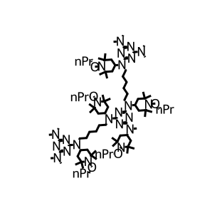 CCCON1C(C)(C)CC(N(C)c2nc(N(CCCCCCN(c3nc(N(C)C)nc(N(C)C)n3)C3CC(C)(C)N(OCCC)C(C)(C)C3)C3CC(C)(C)N(OCCC)C(C)(C)C3)nc(N(CCCCCCN(c3nc(N(C)C)nc(N(C)C)n3)C3CC(C)(C)N(OCCC)C(C)(C)C3)C3CC(C)(C)N(OCCC)C(C)(C)C3)n2)CC1(C)C